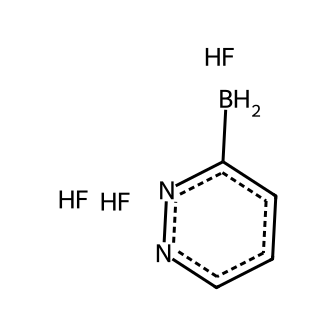 Bc1cccnn1.F.F.F